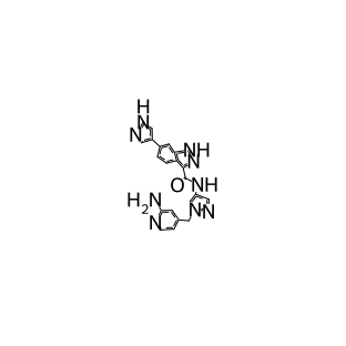 Nc1cc(Cn2cc(NC(=O)c3n[nH]c4cc(-c5cn[nH]c5)ccc34)cn2)ccn1